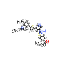 COC(=O)c1ccc(SNc2cncc(-c3ccc(-c4ccc(C)c(CN(C)C=O)c4)s3)c2)cc1